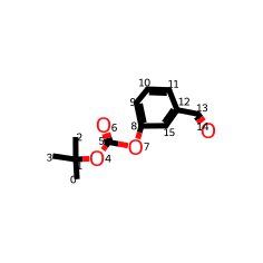 CC(C)(C)OC(=O)Oc1cccc(C=O)c1